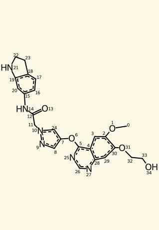 COc1cc2c(Oc3cnn(CC(=O)Nc4ccc5c(c4)NCC5)c3)ncnc2cc1OCCO